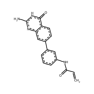 C=CC(=O)Nc1cccc(-c2ccc3c(=O)[nH]c(N)nc3c2)c1